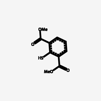 COC(=O)c1cccc(C(=O)OC)c1S